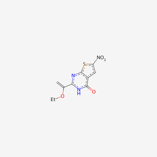 C=C(OCC)c1nc2sc([N+](=O)[O-])cc2c(=O)[nH]1